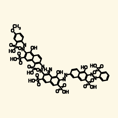 COc1ccc(N=Nc2c(S(=O)(=O)O)cc3c(S(=O)(=O)O)c(N=Nc4c(S(=O)(=O)O)cc5cc(S(=O)(=O)O)c(N=Nc6ccc7c(O)c(N=Nc8ccccc8S(=O)(=O)O)c(S(=O)(=O)O)cc7c6)c(O)c5c4N)ccc3c2O)c(S(=O)(=O)O)c1